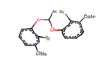 COc1cccc(OC(Oc2cccc(OC)c2Br)C(C)=O)c1Br